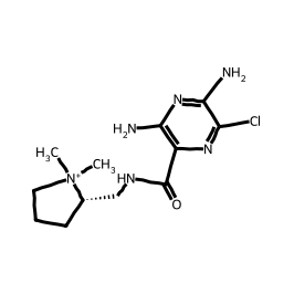 C[N+]1(C)CCC[C@H]1CNC(=O)c1nc(Cl)c(N)nc1N